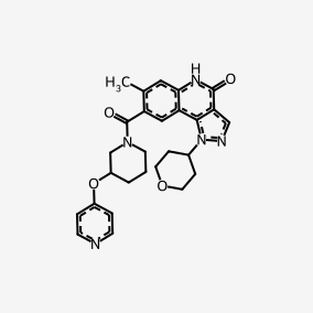 Cc1cc2[nH]c(=O)c3cnn(C4CCOCC4)c3c2cc1C(=O)N1CCCC(Oc2ccncc2)C1